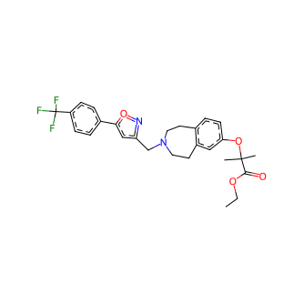 CCOC(=O)C(C)(C)Oc1ccc2c(c1)CCN(Cc1cc(-c3ccc(C(F)(F)F)cc3)on1)CC2